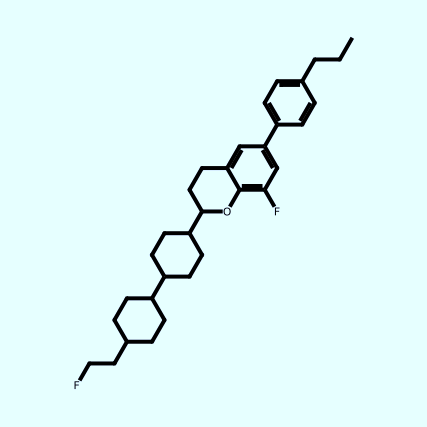 CCCc1ccc(-c2cc(F)c3c(c2)CCC(C2CCC(C4CCC(CCF)CC4)CC2)O3)cc1